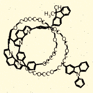 CC1(C)c2ccccc2-c2ccc(N3CCOCCOCCOc4ccc(cc4)-c4ccc5ccc6ccc(nc6c5n4)-c4ccc(cc4-c4cc5nc6c4ccc4ccc(nc46)-c4ccc(cc4)OCCOCCOCCN(c4ccc6c(c4)c4ccccc4n6-c4ccccc4)CCOCCOCCOc4ccc-5cc4)OCCOCCOCC3)cc21